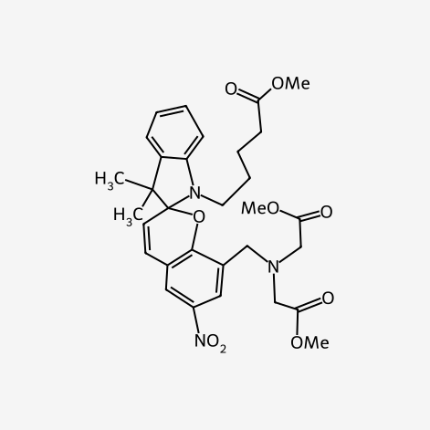 COC(=O)CCCCN1c2ccccc2C(C)(C)C12C=Cc1cc([N+](=O)[O-])cc(CN(CC(=O)OC)CC(=O)OC)c1O2